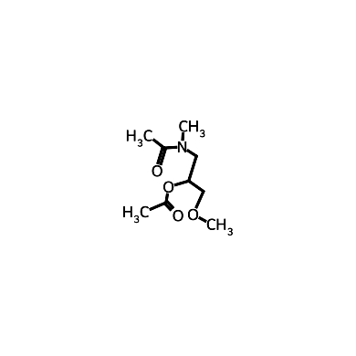 COCC(CN(C)C(C)=O)OC(C)=O